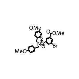 COC(=O)c1cc(Br)cc(S(=O)(=O)N(Cc2ccc(OC)cc2)Cc2ccc(OC)cc2)c1